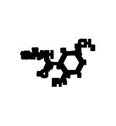 CC1CCC(C(C)C)[C@H](C(=O)NC(C)(C)C)C1